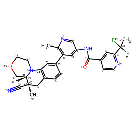 Cc1ncc(NC(=O)c2ccnc(C(C)(F)F)c2)cc1-c1ccc2c(c1)N1CCOC[C@H]1[C@@](C)(C#N)C2